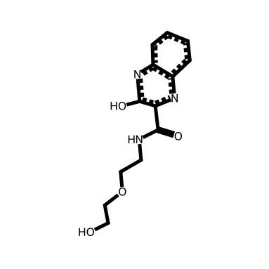 O=C(NCCOCCO)c1nc2ccccc2nc1O